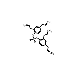 C=CCc1ccc(OP(=O)(Cl)Oc2ccc(CC=C)cc2CC=C)c(CC=C)c1